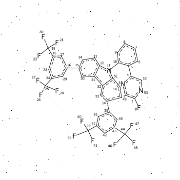 Fc1cnc(-c2ccccc2-n2c3ccc(-c4cc(C(F)(F)F)cc(C(F)(F)F)c4)cc3c3cc(-c4cc(C(F)(F)F)cc(C(F)(F)F)c4)ccc32)cn1